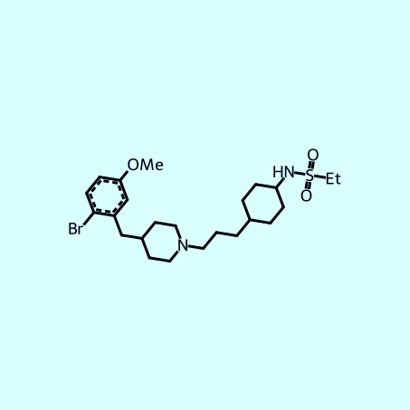 CCS(=O)(=O)NC1CCC(CCCN2CCC(Cc3cc(OC)ccc3Br)CC2)CC1